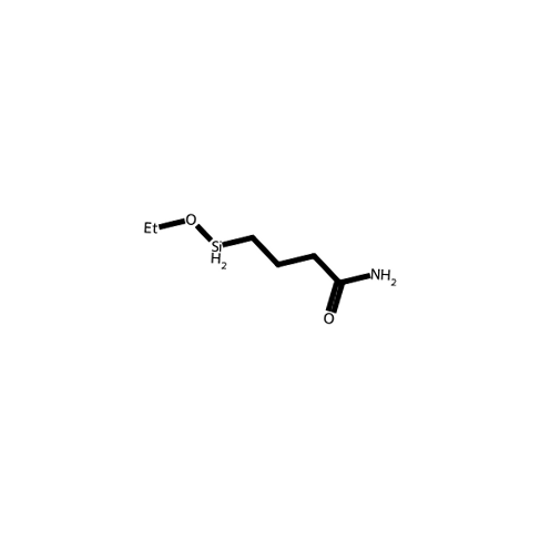 CCO[SiH2]CCCC(N)=O